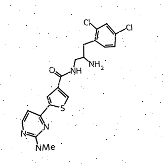 CNc1nccc(-c2cc(C(=O)NCC(N)Cc3ccc(Cl)cc3Cl)cs2)n1